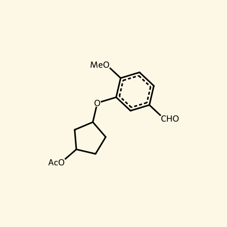 COc1ccc(C=O)cc1OC1CCC(OC(C)=O)C1